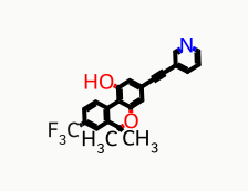 CC1(C)Oc2cc(C#Cc3cccnc3)cc(O)c2-c2ccc(C(F)(F)F)cc21